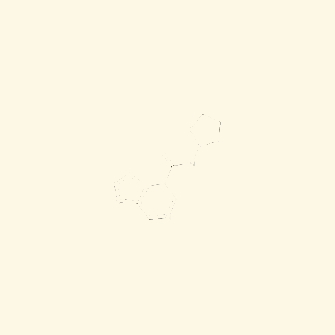 O=C(NN1CCCC1)c1cncc2nc[nH]c12